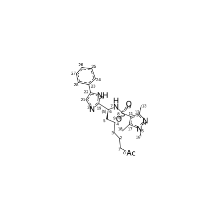 CC(=O)CCCCC[C@H](NS(=O)(=O)c1c(C)nn(C)c1C)c1ncc(-c2ccccc2)[nH]1